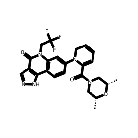 C[C@@H]1CN(C(=O)C2=CC=CCN2c2ccc3c4[nH]ncc4c(=O)n(CC(F)(F)F)c3c2)C[C@H](C)O1